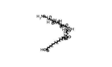 NOCCNC(=O)CNC(=O)CNC(=O)CNC(=O)CNC(=O)[C@H](CO)NC(=O)CC[C@H](NC(=O)CCCCCCCCCCCCCC(=O)O)C(=O)O